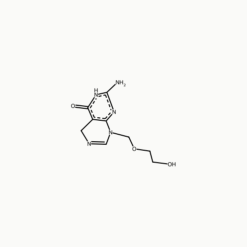 Nc1nc2c(c(=O)[nH]1)CN=CN2COCCO